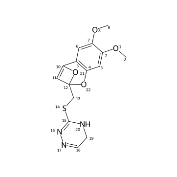 COc1cc2c(cc1OC)C1=CC(CSC3=NN=CCN3)(O1)O2